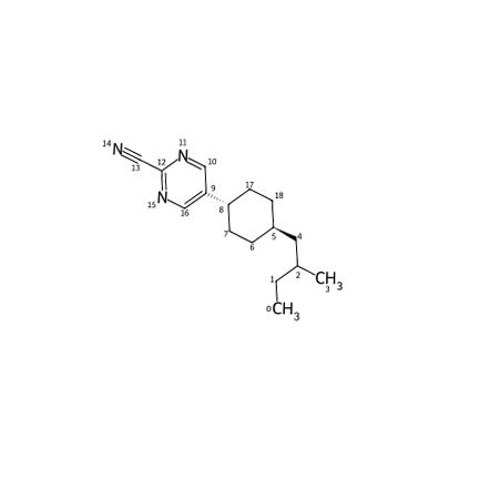 CCC(C)C[C@H]1CC[C@H](c2cnc(C#N)nc2)CC1